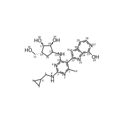 Cc1nc(NCC2CC2)nc(NC2C[C@H](CO)[C@@H](O)[C@H]2O)c1-c1nc2c(O)nccc2s1